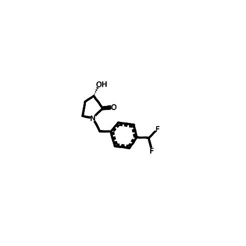 O=C1[C@@H](O)CCN1Cc1ccc(C(F)F)cc1